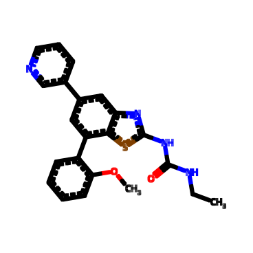 CCNC(=O)Nc1nc2cc(-c3cccnc3)cc(-c3ccccc3OC)c2s1